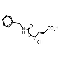 C[C@@H](C=CC(=O)O)OC(=O)NCc1ccccc1